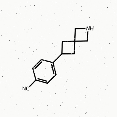 N#Cc1ccc(C2CC3(CNC3)C2)cc1